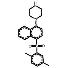 Cc1ccc(C)c(S(=O)(=O)c2ccc(N3CCNCC3)c3ccccc23)c1